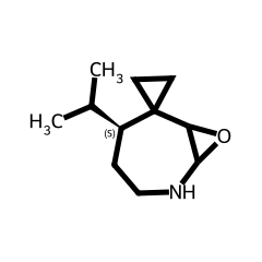 CC(C)[C@@H]1CCNC2OC2C12CC2